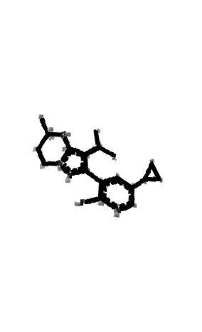 CC(C)c1c(-c2cc(C3CC3)cnc2F)nn2c1O[C@H](C)CC2